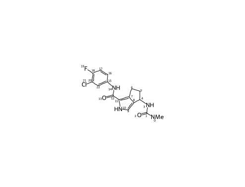 CNC(=O)NC1CCc2c1c[nH]c2C(=O)Nc1ccc(F)c(Cl)c1